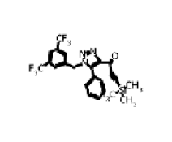 C[Si](C)(C)C#CC(=O)c1nnn(Cc2cc(C(F)(F)F)cc(C(F)(F)F)c2)c1-c1ccccc1